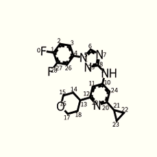 Fc1ccc(-n2cnc(Nc3cc(C4CCOCC4)nc(C4CC4)c3)n2)cc1F